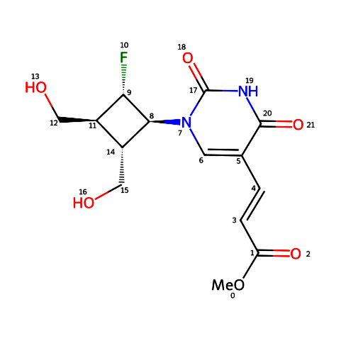 COC(=O)/C=C/c1cn([C@@H]2[C@@H](F)[C@H](CO)[C@H]2CO)c(=O)[nH]c1=O